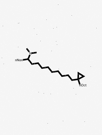 CCCCCCCCCC(CCCCCCCCCC1(CCCCCCCC)CC1)N(C)C